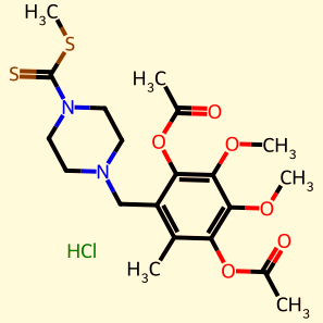 COc1c(OC(C)=O)c(C)c(CN2CCN(C(=S)SC)CC2)c(OC(C)=O)c1OC.Cl